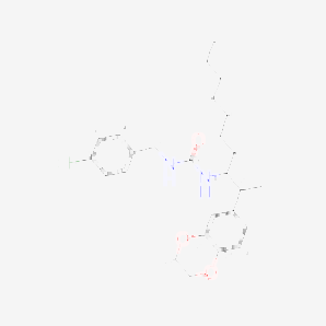 CCCCCCCC(NC(=O)NCc1ccc(Cl)cc1)C(C)c1ccc2c(c1)OCCO2